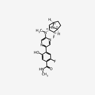 CNC(=O)c1cc(O)c(-c2cnc(N(C)[C@@H]3C[C@H]4CC[C@H](N4)[C@@H]3F)cn2)cc1F